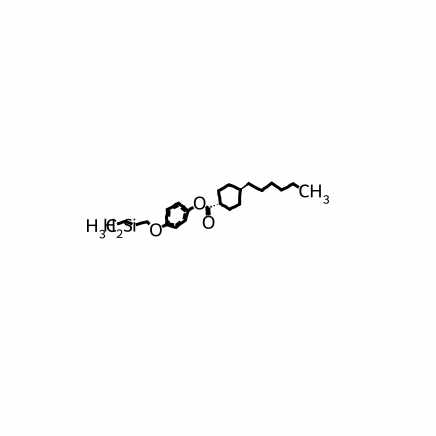 CCCCCC[C@H]1CC[C@H](C(=O)Oc2ccc(OC[SiH2]CC)cc2)CC1